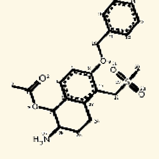 CC(=O)OC1c2ccc(OCc3ccccc3)c(CS(C)(=O)=O)c2CCC1N